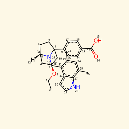 CCO[C@H]1C[C@@H]2CCC(c3ccc(C(=O)O)cc3)(C1)N2Cc1c(C)cc(C)c2[nH]ccc12